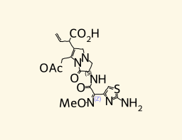 C=CC(C(=O)O)C1=C(COC(C)=O)N2C(=O)[C@@H](NC(=O)/C(=N\OC)c3csc(N)n3)CN2C1